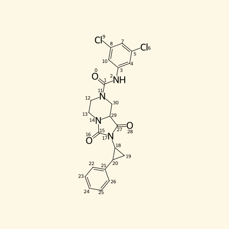 O=C(Nc1cc(Cl)cc(Cl)c1)N1CCN2C(=O)N(C3CC3c3ccccc3)C(=O)C2C1